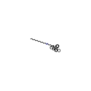 CCCCCCCCCCCC/C=C/CCC(Cl)C[N]c1ccccc1N1C(=O)CCC1=O